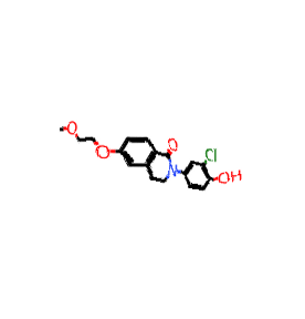 COCCOc1ccc2c(c1)CCN(c1ccc(O)c(Cl)c1)C2=O